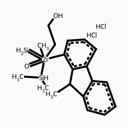 CC1c2ccccc2-c2ccc[c]([Zr]([CH3])(=[O])(=[SiH2])([CH2]CO)[SiH](C)C)c21.Cl.Cl